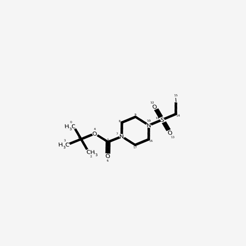 CC(C)(C)OC(=O)N1CCN(S(=O)(=O)CI)CC1